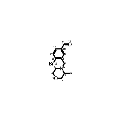 CC1COCCN1Cc1cc(C=O)ccc1Br